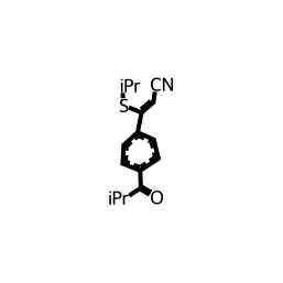 CC(C)SC(=CC#N)c1ccc(C(=O)C(C)C)cc1